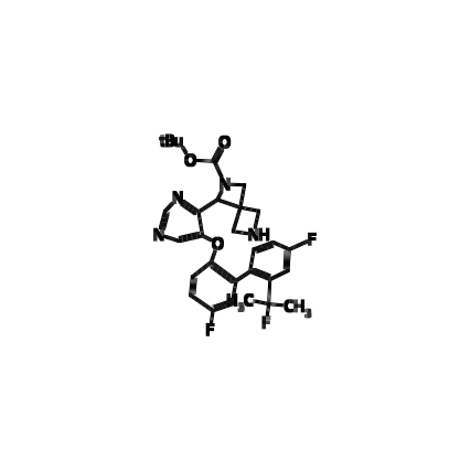 CC(C)(C)OC(=O)N1CC2(CNC2)C1c1ncncc1Oc1ccc(F)cc1-c1ccc(F)cc1C(C)(C)F